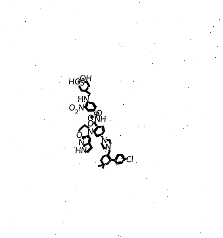 CC1(C)CCC(CN2CCN(c3ccc(C(=O)NS(=O)(=O)c4ccc(NCC5CCS(O)(O)CC5)c([N+](=O)[O-])c4)c(N4CCCOc5nc6[nH]ccc6cc54)c3)CC2)=C(c2ccc(Cl)cc2)C1